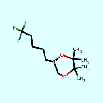 CC1(C)OCB(CCCCC(F)(F)F)OC1(C)C